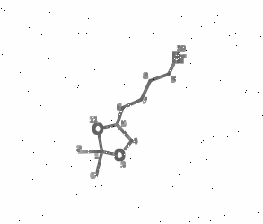 CC1(C)OCC(CCCCBr)O1